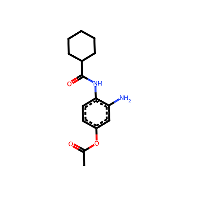 CC(=O)Oc1ccc(NC(=O)C2CCCCC2)c(N)c1